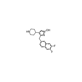 On1cc(C2CCNCC2)c(Cc2ccc3cc(F)c(F)cc3c2)n1